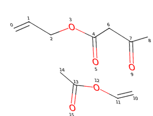 C=CCOC(=O)CC(C)=O.C=COC(C)=O